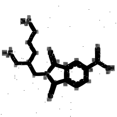 CCCCC(CC)CN1C(=O)c2ccc(C(=O)O)cc2C1=O